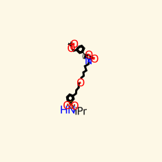 CC(C)NS(=O)(=O)c1cccc(CCCCOCCCCCCN2C[C@@H](c3ccc4c(c3)COC(C)(C)O4)OC2=O)c1